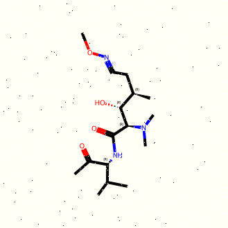 CO/N=C/C[C@@H](C)[C@@H](O)[C@H](C(=O)N[C@@H](C(C)=O)C(C)C)N(C)C